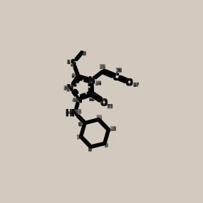 CSc1nn(NC2CCCCC2)c(=O)n1C=C=O